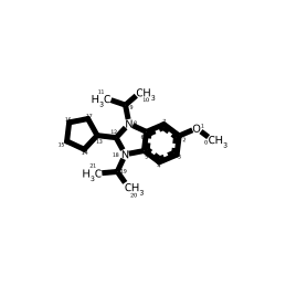 COc1ccc2c(c1)N(C(C)C)C(C1CCCC1)N2C(C)C